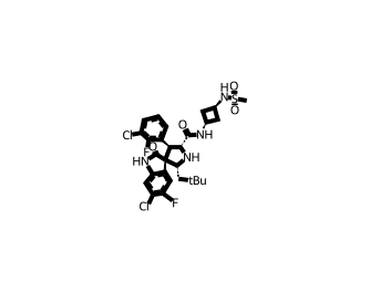 CC(C)(C)C[C@H]1N[C@@H](C(=O)N[C@H]2C[C@H](NS(C)(=O)=O)C2)[C@H](c2cccc(Cl)c2F)[C@@]12C(=O)Nc1cc(Cl)c(F)cc12